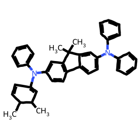 CC1C=CC(N(c2ccccc2)c2ccc3c(c2)C(C)(C)c2cc(N(c4ccccc4)c4ccccc4)ccc2-3)=CC1C